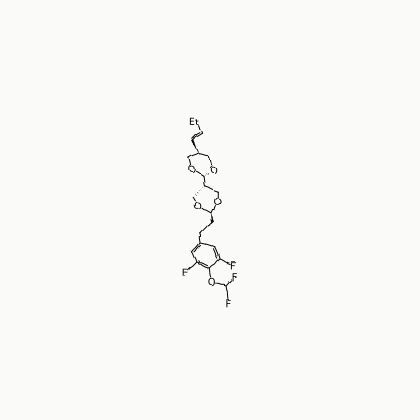 CC/C=C/[C@H]1CO[C@H]([C@H]2CO[C@H](CCc3cc(F)c(OC(F)F)c(F)c3)OC2)OC1